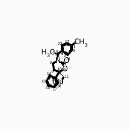 Cc1ccc([C@H](C)N2CC[C@](CC(C)(C)C)(c3ccccc3)OC2=O)cc1